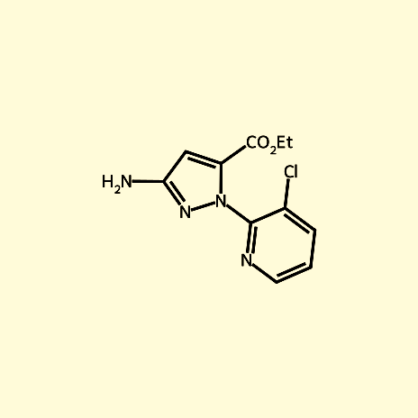 CCOC(=O)c1cc(N)nn1-c1ncccc1Cl